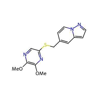 COc1ncc(SCc2ccn3nccc3c2)nc1OC